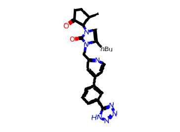 CCCCc1cn(C2C(=O)CCC2C)c(=O)n1Cc1cc(-c2cccc(-c3nnn[nH]3)c2)ccn1